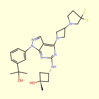 CC(C)(O)c1cccc(-n2ncc3c(N4CC(N5CCC(F)(F)C5)C4)nc(N[C@H]4C[C@@](C)(O)C4)nc32)c1